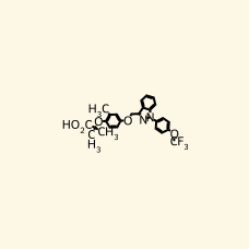 Cc1cc(OCc2nn(-c3ccc(OC(F)(F)F)cc3)c3ccccc23)ccc1OC(C)(C)C(=O)O